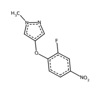 Cn1cc(Oc2ccc([N+](=O)[O-])cc2F)cn1